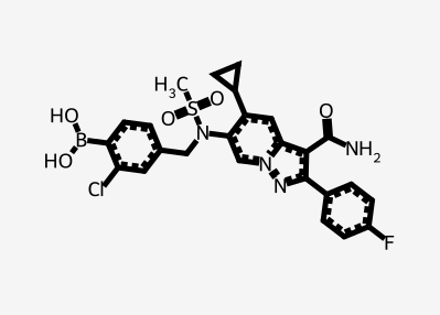 CS(=O)(=O)N(Cc1ccc(B(O)O)c(Cl)c1)c1cn2nc(-c3ccc(F)cc3)c(C(N)=O)c2cc1C1CC1